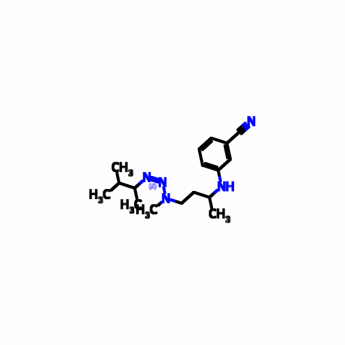 CC(CCN(C)/N=N\C(C)C(C)C)Nc1cccc(C#N)c1